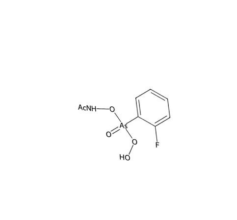 CC(=O)NO[As](=O)(OO)c1ccccc1F